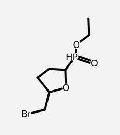 CCO[PH](=O)C1CCC(CBr)O1